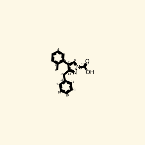 Cc1ccccc1-c1cn(C(=O)O)nc1Cc1ccccc1